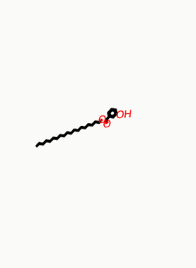 CCCCCCCCCCCCCCCCCCCOC(=O)c1cccc(O)c1